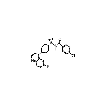 O=C(NC1([C@H]2CC[C@H](c3ccnc4ccc(F)cc43)CC2)CC1)c1ccc(Cl)cc1